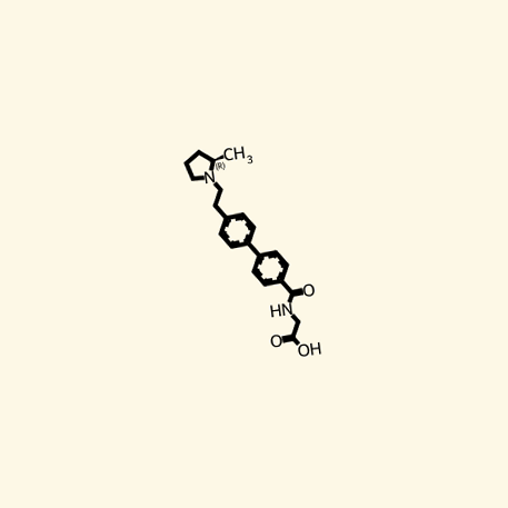 C[C@@H]1CCCN1CCc1ccc(-c2ccc(C(=O)NCC(=O)O)cc2)cc1